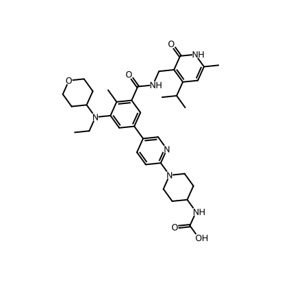 CCN(c1cc(-c2ccc(N3CCC(NC(=O)O)CC3)nc2)cc(C(=O)NCc2c(C(C)C)cc(C)[nH]c2=O)c1C)C1CCOCC1